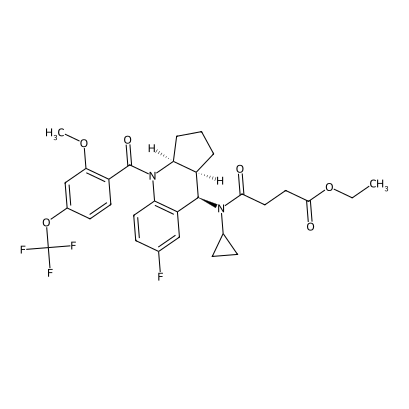 CCOC(=O)CCC(=O)N(C1CC1)[C@H]1c2cc(F)ccc2N(C(=O)c2ccc(OC(F)(F)F)cc2OC)[C@H]2CCC[C@H]21